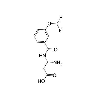 NC(CC(=O)O)NC(=O)c1cccc(OC(F)F)c1